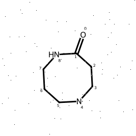 O=C1CC[N]CCCN1